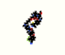 CO[C@@H]1C[C@@H](C(=O)N(C)Cc2ccc(-c3scnc3C)cc2)N(C(=O)[C@@H](N(C)C(=O)COCCCCCN(C)c2ccc(C(=O)N(C)C3C(C)(C)C(Oc4ccc(C#N)c(C(F)(F)F)c4)C3(C)C)nc2)C(C)(C)C)C1